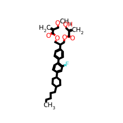 C=C(CO)C(=O)OCC(COC(=O)C(=C)COC)c1ccc(-c2ccc(C3CCC(CCCCC)CC3)cc2F)cc1